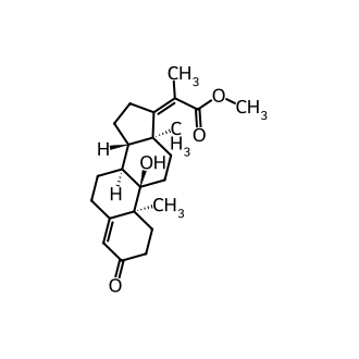 COC(=O)C(C)=C1CC[C@H]2[C@@H]3CCC4=CC(=O)CC[C@]4(C)[C@@]3(O)CC[C@]12C